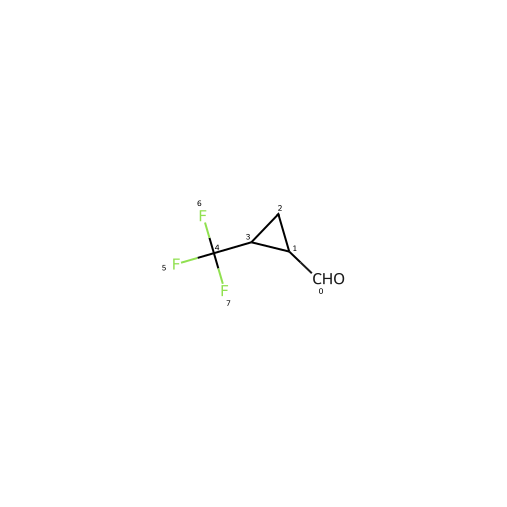 O=CC1CC1C(F)(F)F